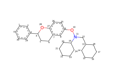 c1ccc(C2CCc3cc(ON(CC4CCCCC4)C4CCCCC4)ccc3O2)cc1